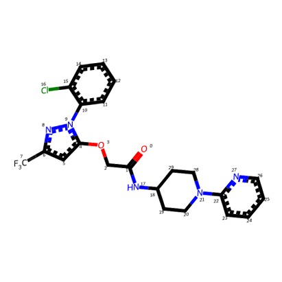 O=C(COc1cc(C(F)(F)F)nn1-c1ccccc1Cl)NC1CCN(c2ccccn2)CC1